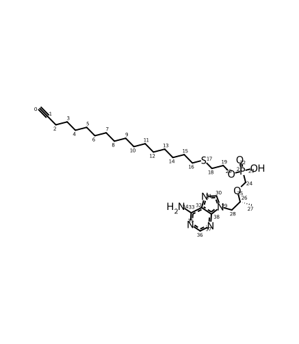 C#CCCCCCCCCCCCCCCCSCCOP(=O)(O)CO[C@H](C)Cn1cnc2c(N)ncnc21